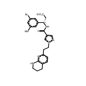 CCOC(=O)C[C@H](NC(=O)c1cnn(CCc2ccc3c(n2)NCCC3)c1)c1cc(Br)cc(C(C)(C)C)c1